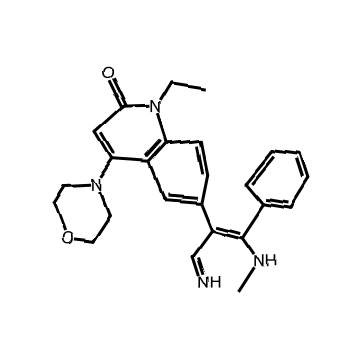 CCn1c(=O)cc(N2CCOCC2)c2cc(/C(C=N)=C(/NC)c3ccccc3)ccc21